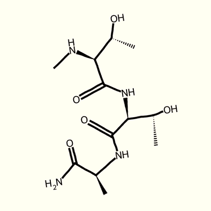 CN[C@H](C(=O)N[C@H](C(=O)N[C@@H](C)C(N)=O)[C@@H](C)O)[C@@H](C)O